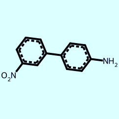 Nc1ccc(-c2cccc([N+](=O)[O-])c2)cc1